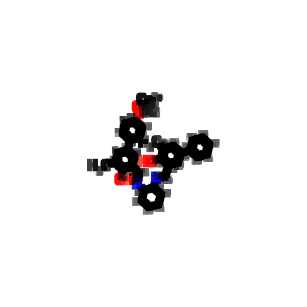 CC(=O)[O-].CC(=O)[O-].Cc1cc(-c2ccccc2)cc(C=NC2CCCCC2N=Cc2cc(-c3ccccc3)cc(C)c2O)c1O.[Co+2]